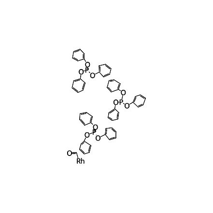 O=[CH][Rh].c1ccc(OP(Oc2ccccc2)Oc2ccccc2)cc1.c1ccc(OP(Oc2ccccc2)Oc2ccccc2)cc1.c1ccc(OP(Oc2ccccc2)Oc2ccccc2)cc1